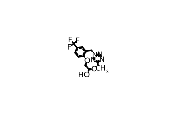 Cc1nnn(Cc2cc(C(F)(F)F)ccc2OCC(=O)O)n1